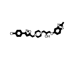 Cc1nc2cc(OC[C@@H](O)CN3CCN(Cc4cc(-c5ccc(Cl)cc5)no4)CC3)ccc2s1